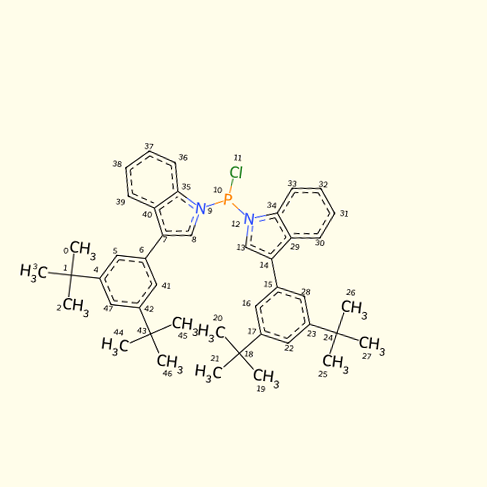 CC(C)(C)c1cc(-c2cn(P(Cl)n3cc(-c4cc(C(C)(C)C)cc(C(C)(C)C)c4)c4ccccc43)c3ccccc23)cc(C(C)(C)C)c1